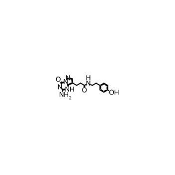 Nc1nc(=O)n2ncc(CCC(=O)NCCc3ccc(O)cc3)c2[nH]1